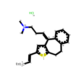 CCOC(=O)/C=C/c1cc2c(s1)CCc1ccccc1/C2=C/CCN(C)C.Cl